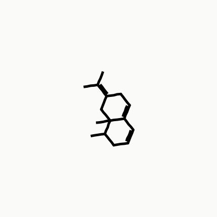 CC(C)=C1CC=C2C=CCC(C)C2(C)C1